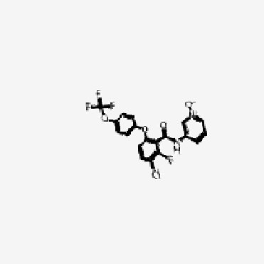 O=C(Nc1ccc[n+]([O-])c1)c1c(Oc2ccc(OC(F)(F)F)cc2)ccc(Cl)c1F